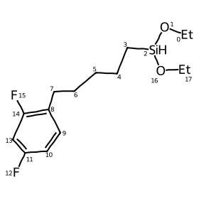 CCO[SiH](CCCCCc1ccc(F)cc1F)OCC